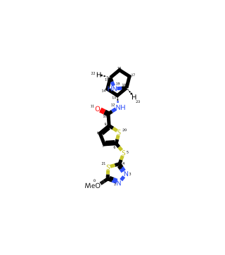 COc1nnc(Sc2ccc(C(=O)N[C@@H]3C[C@H]4CC[C@@H]3N4)s2)s1